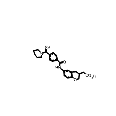 N=C(c1ccc(C(=O)Nc2ccc3c(c2)CC(CC(=O)O)CO3)cc1)N1CCCCC1